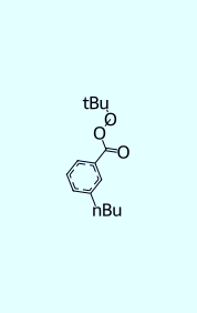 CCCCc1cccc(C(=O)OOC(C)(C)C)c1